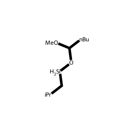 CCCCC(OC)O[SiH2]CC(C)C